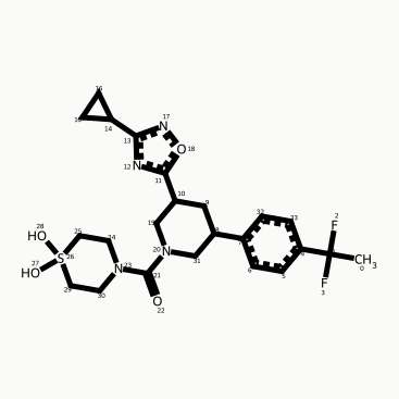 CC(F)(F)c1ccc(C2CC(c3nc(C4CC4)no3)CN(C(=O)N3CCS(O)(O)CC3)C2)cc1